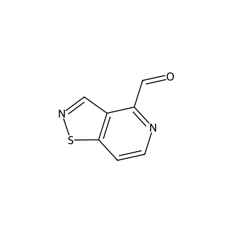 O=Cc1nccc2sncc12